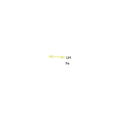 SS.[Fe].[LiH]